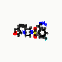 CS[C@@H]1COC[C@H]1N1CCN(S(=O)(=O)c2cc(F)ccc2CN)CC1